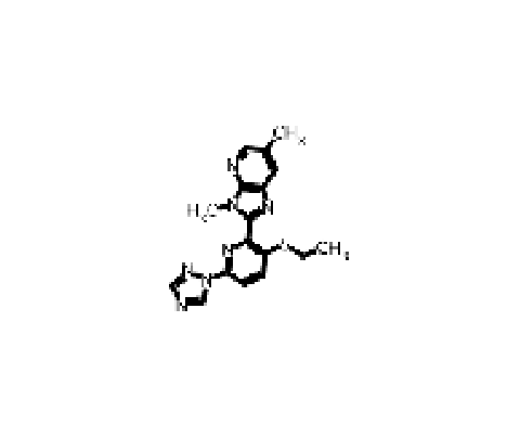 CCSc1ccc(-n2cncn2)nc1-c1nc2cc(C)cnc2n1C